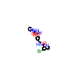 O=C(NN1CCCCC1)NS(=O)(=O)c1ccc(CCNC(=O)c2cc(Br)cc3cccnc23)cc1